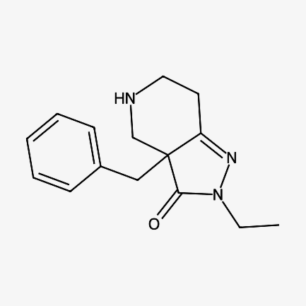 CCN1N=C2CCNCC2(Cc2ccccc2)C1=O